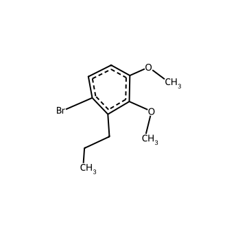 CCCc1c(Br)ccc(OC)c1OC